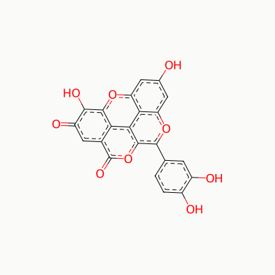 O=c1cc2c(=O)oc3c(-c4ccc(O)c(O)c4)oc4cc(O)cc5oc(c1O)c2c3c45